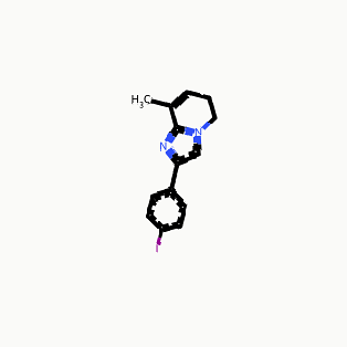 CC1=CCCn2cc(-c3ccc(I)cc3)nc21